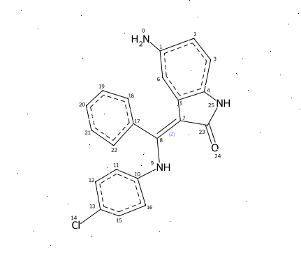 Nc1ccc2c(c1)/C(=C(/Nc1ccc(Cl)cc1)c1ccccc1)C(=O)N2